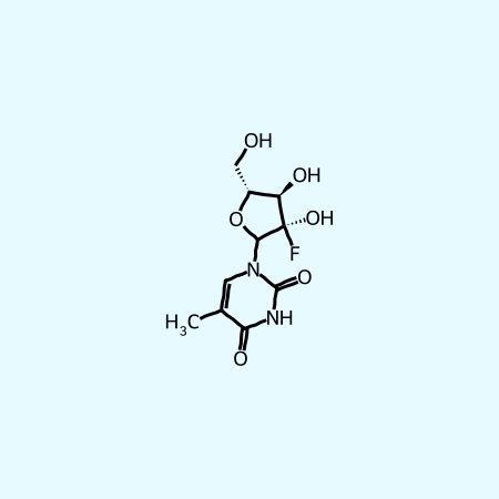 Cc1cn(C2O[C@H](CO)[C@@H](O)[C@@]2(O)F)c(=O)[nH]c1=O